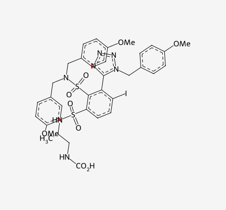 COc1ccc(CN(Cc2ccc(OC)cc2)S(=O)(=O)c2c(S(=O)(=O)N[C@@H](C)CNC(=O)O)ccc(I)c2-c2nnnn2Cc2ccc(OC)cc2)cc1